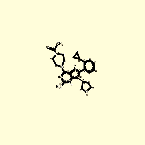 CC(=O)N1CCN(c2nc(C)nc3c2nc(-c2ccccc2C2CC2)n3[C@H]2CCOC2)CC1